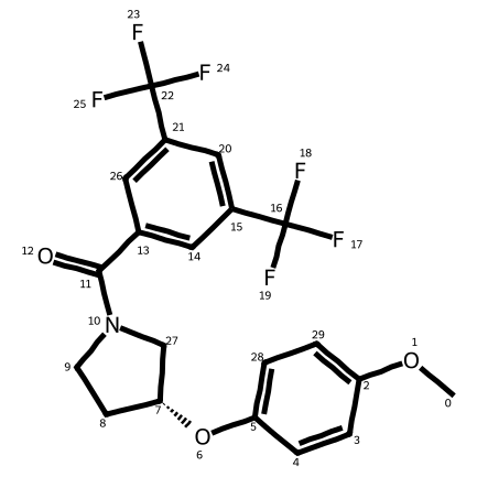 COc1ccc(O[C@@H]2CCN(C(=O)c3cc(C(F)(F)F)cc(C(F)(F)F)c3)C2)cc1